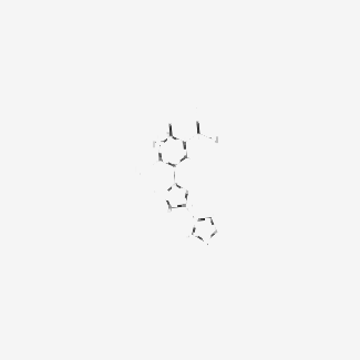 Cc1[nH]c(=O)c(C(N)=O)cc1-c1cc(-n2ccnc2)cs1